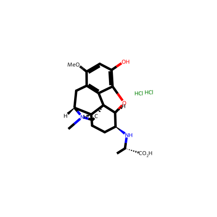 COc1cc(O)c2c3c1C[C@@H]1[C@@H]4CC[C@H](N[C@@H](C)C(=O)O)[C@H](O2)[C@]34CCN1C.Cl.Cl